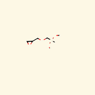 CCO[Si](C)(COCC1CO1)OCC